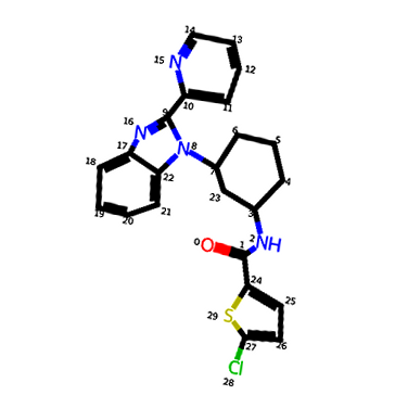 O=C(NC1CCCC(n2c(-c3ccccn3)nc3ccccc32)C1)c1ccc(Cl)s1